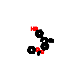 CCC(CC(C)c1ccc(O)cc1)c1ccc(OC(C)OC2CCCCC2)cc1